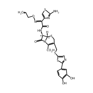 C=CCON=C(C(=O)N[C@@H]1C(=O)N2C(C(=O)O)=C(CSc3nnc(-c4ccc(O)c(O)c4)s3)CS[C@@H]12)c1csc(N)n1